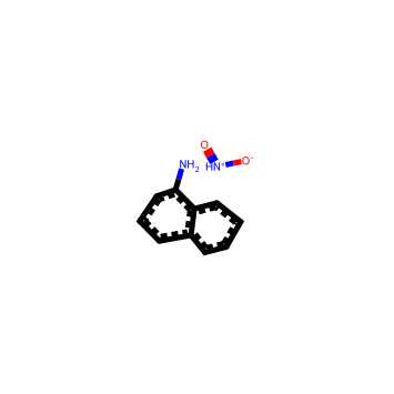 Nc1cccc2ccccc12.O=[NH+][O-]